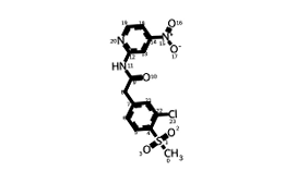 CS(=O)(=O)c1ccc(CC(=O)Nc2cc([N+](=O)[O-])ccn2)cc1Cl